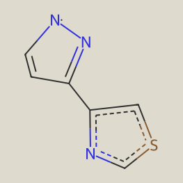 C1=CC(c2cscn2)=N[N]1